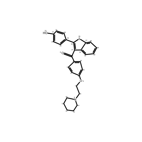 O=C(c1ccc(OCCN2CCCCC2)cc1)c1c(-c2ccc(O)cc2)sc2ccccc12